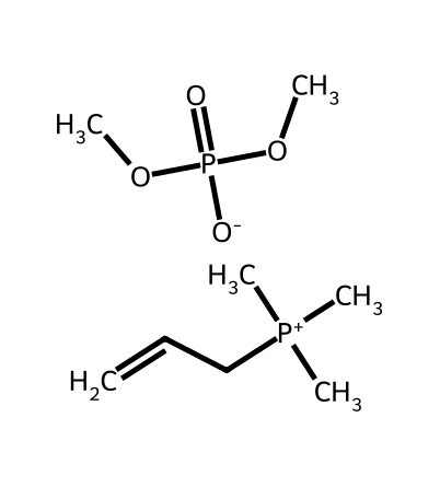 C=CC[P+](C)(C)C.COP(=O)([O-])OC